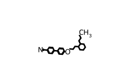 CCCCC1CCCCC1CCCOc1ccc(-c2ccc(C#N)cc2)cc1